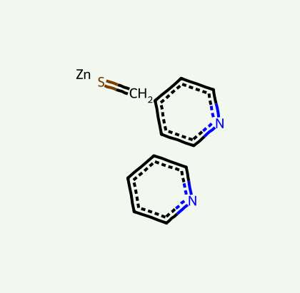 C=S.[Zn].c1ccncc1.c1ccncc1